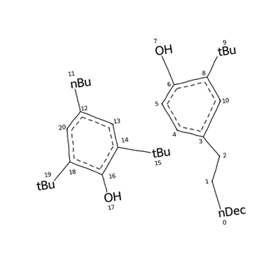 CCCCCCCCCCCCc1ccc(O)c(C(C)(C)C)c1.CCCCc1cc(C(C)(C)C)c(O)c(C(C)(C)C)c1